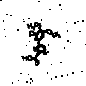 COc1cc(-c2csc(C(=O)O)n2)cc(Cl)c1SC